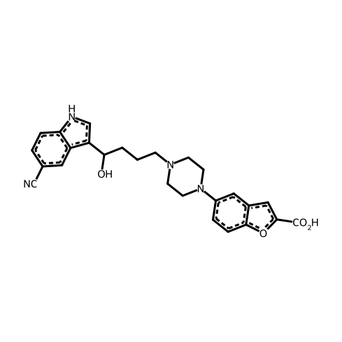 N#Cc1ccc2[nH]cc(C(O)CCCN3CCN(c4ccc5oc(C(=O)O)cc5c4)CC3)c2c1